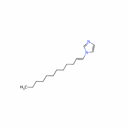 CCCCCCCCCCC=Cn1ccnc1